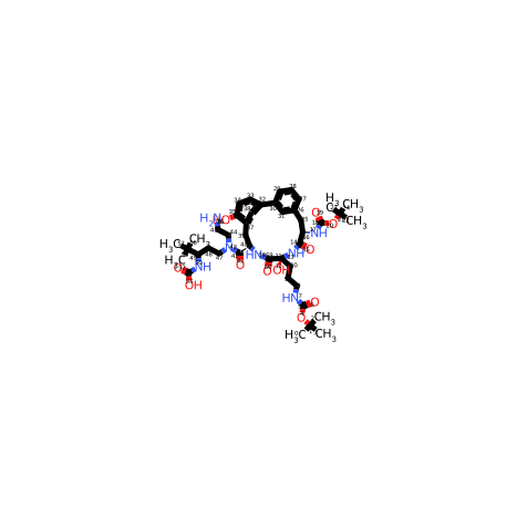 CC(C)(C)OC(=O)NCCC[C@@]1(O)NC(=O)[C@@H](NC(=O)OC(C)(C)C)Cc2cccc(c2)-c2ccc(O)c(c2)C[C@@H](C(=O)N(CCN)CCC(NC(=O)O)C(C)(C)C)NC1=O